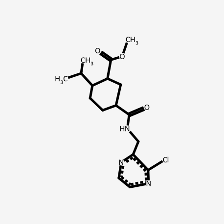 COC(=O)C1CC(C(=O)NCc2nccnc2Cl)CCC1C(C)C